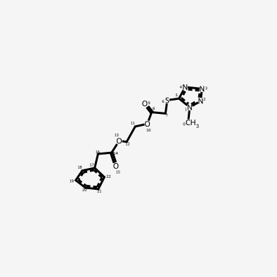 Cn1nnnc1SCC(=O)OCCOC(=O)Cc1ccccc1